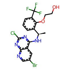 C[C@@H](Nc1nc(Cl)nc2ncc(Br)cc12)c1cccc(C(F)(F)F)c1OCCO